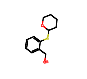 OCc1ccccc1SC1CCCCO1